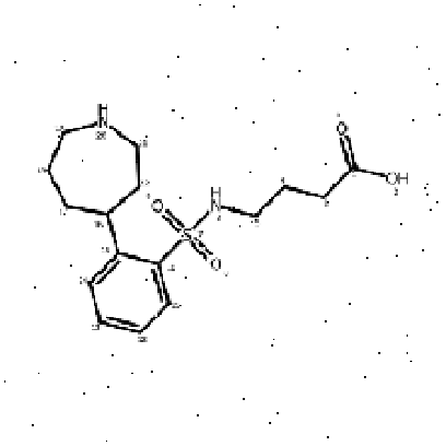 O=C(O)CCCNS(=O)(=O)c1ccccc1C1CCCNCC1